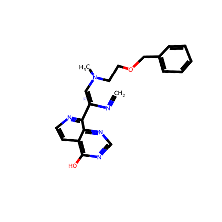 C=N/C(=C\N(C)CCOCc1ccccc1)c1nccc2c(O)ncnc12